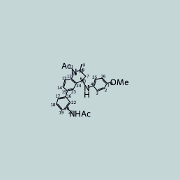 COc1ccc(N[C@@H]2C[C@H](C)N(C(C)=O)c3ccc(-c4cccc(NC(C)=O)c4)cc32)cc1